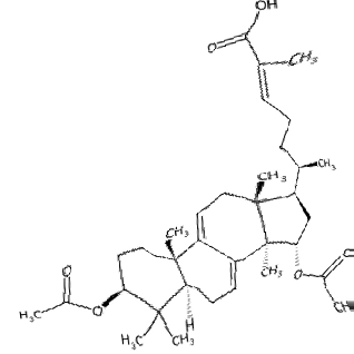 CC(=O)O[C@H]1CC[C@]2(C)C3=CC[C@]4(C)[C@@H]([C@H](C)CC/C=C(\C)C(=O)O)C[C@H](OC(C)=O)[C@@]4(C)C3=CC[C@H]2C1(C)C